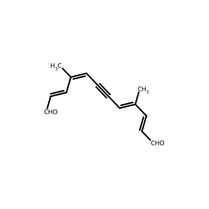 CC(C=CC=O)=CC#CC=C(C)C=CC=O